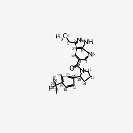 CCc1n[nH]c2ncc(C(=O)N3CCCC3c3ccc(C(F)(F)F)cc3)cc12